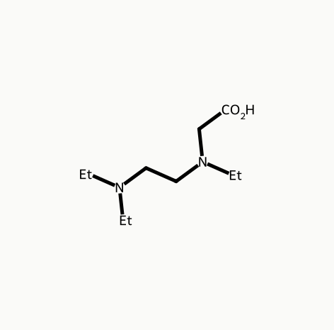 CCN(CC)CCN(CC)CC(=O)O